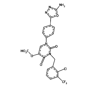 Nc1nnc(-c2ccc(-n3cc(OC(=O)O)c(=O)n(Cc4cccc(C(F)(F)F)c4Cl)c3=O)cc2)o1